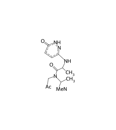 CNC(C)N(CC(C)=O)C(=O)C(C)Nc1ccc(=O)[nH]n1